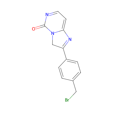 O=c1nccc2n1CC(c1ccc(CBr)cc1)=N2